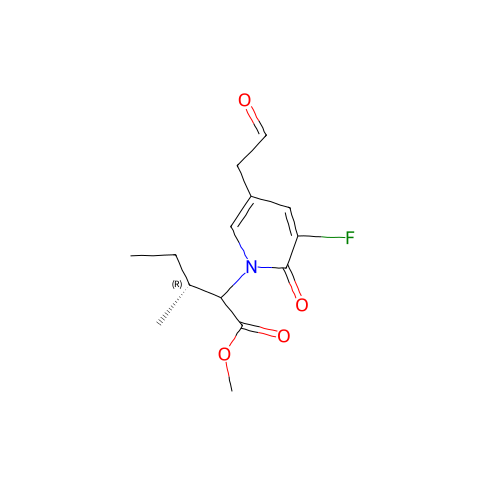 CC[C@@H](C)C(C(=O)OC)n1cc(CC=O)cc(F)c1=O